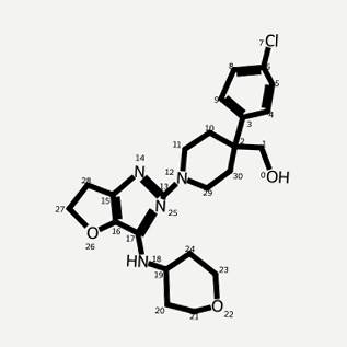 OCC1(c2ccc(Cl)cc2)CCN(c2nc3c(c(NC4CCOCC4)n2)OCC3)CC1